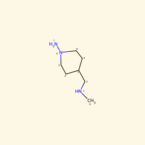 CNCC1CCN(N)CC1